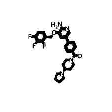 Nc1ncc(-c2ccc(C(=O)N3CCC(N4CCCC4)CC3)cc2)cc1OCc1ccc(F)c(F)c1F